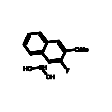 COc1cc2ccccc2cc1F.OBO